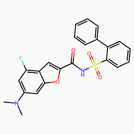 CN(C)c1cc(F)c2cc(C(=O)NS(=O)(=O)c3ccccc3-c3ccccc3)oc2c1